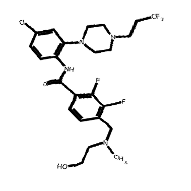 CN(CCO)Cc1ccc(C(=O)Nc2ccc(Cl)cc2N2CCN(CCC(F)(F)F)CC2)c(F)c1F